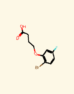 O=C(O)CCCOc1cc(F)ccc1Br